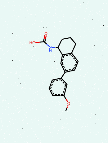 COc1cccc(-c2ccc3c(c2)C(NC(=O)O)CCC3)c1